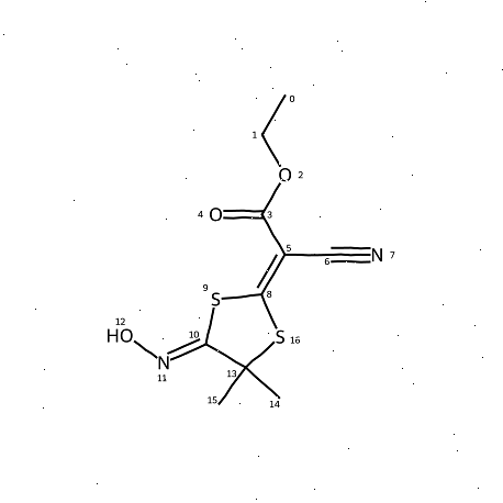 CCOC(=O)C(C#N)=C1SC(=NO)C(C)(C)S1